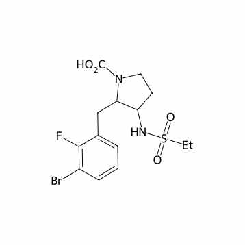 CCS(=O)(=O)NC1CCN(C(=O)O)C1Cc1cccc(Br)c1F